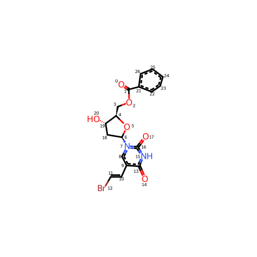 O=C(OC[C@H]1O[C@@H](n2cc(C=CBr)c(=O)[nH]c2=O)C[C@@H]1O)c1ccccc1